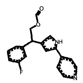 O=COCC(c1cccc(F)c1)c1c[nH]c(-c2ccncc2)c1